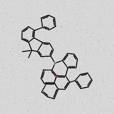 CC1(C)c2cc(N(c3ccccc3)c3ccccc3-c3cc4ccccc4cc3-c3ccccc3)ccc2-c2c(-c3ccccc3)cccc21